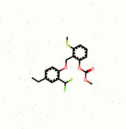 CCc1ccc(OCc2c(OC(=O)OC)cccc2SC)c(C(F)F)c1